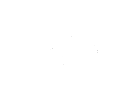 CCOC(=O)C1=CCc2ccsc21